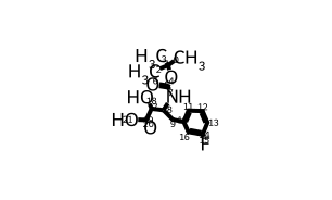 CC(C)(C)OC(=O)NC(Cc1cccc(F)c1)C(O)C(=O)O